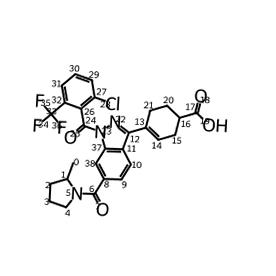 CC1CCCN1C(=O)c1ccc2c(C3=CCC(C(=O)O)CC3)nn(C(=O)c3c(Cl)cccc3C(F)(F)F)c2c1